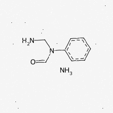 N.NCN(C=O)c1ccccc1